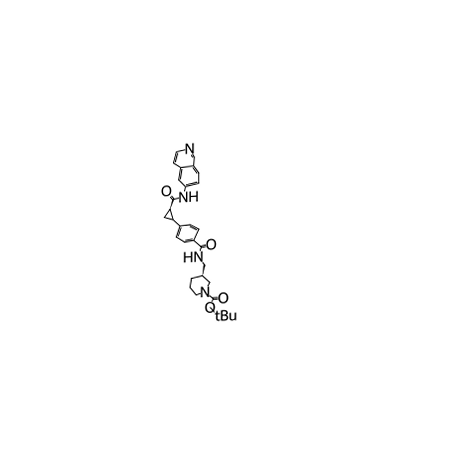 CC(C)(C)OC(=O)N1CCC[C@@H](CNC(=O)c2ccc(C3C[C@H]3C(=O)Nc3ccc4cnccc4c3)cc2)C1